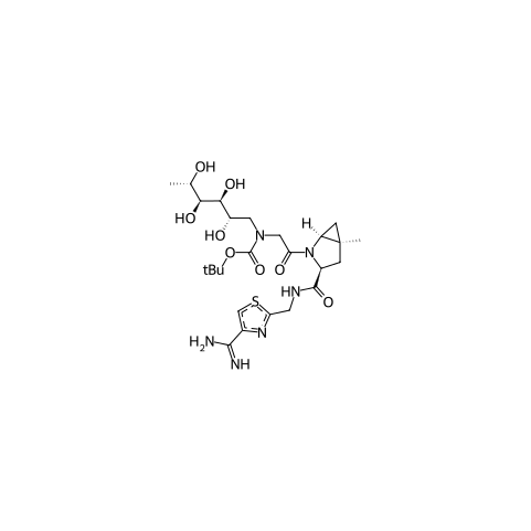 C[C@H](O)[C@H](O)[C@@H](O)[C@@H](O)CN(CC(=O)N1[C@H]2C[C@@]2(C)C[C@H]1C(=O)NCc1nc(C(=N)N)cs1)C(=O)OC(C)(C)C